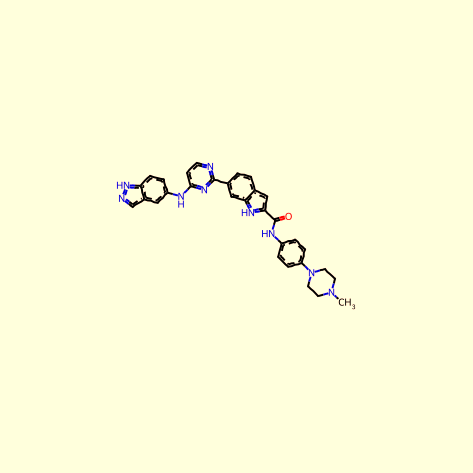 CN1CCN(c2ccc(NC(=O)c3cc4ccc(-c5nccc(Nc6ccc7[nH]ncc7c6)n5)cc4[nH]3)cc2)CC1